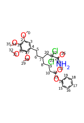 COc1cc(CCC(CCCC(=O)Oc2ccccc2)CC(Cl)(Cl)C(N)=O)c(OC)c(OC)c1OC